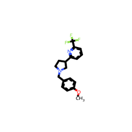 COc1ccc(CN2CCC(c3cccc(C(F)(F)F)n3)C2)cc1